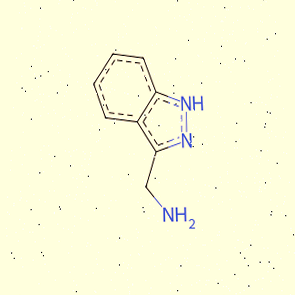 NCc1n[nH]c2ccccc12